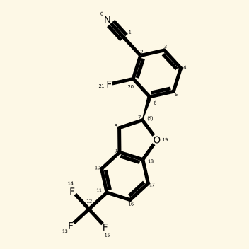 N#Cc1cccc([C@@H]2Cc3cc(C(F)(F)F)ccc3O2)c1F